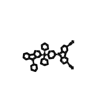 N#Cc1ccc2c(c1)c1cc(C#N)ccc1n2-c1ccc([Si](c2ccccc2)(c2ccccc2)c2ccc3c4ccccc4n(-c4ccccc4)c3c2)cc1